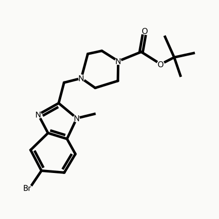 Cn1c(CN2CCN(C(=O)OC(C)(C)C)CC2)nc2cc(Br)ccc21